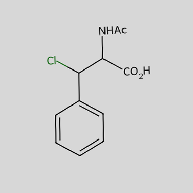 CC(=O)NC(C(=O)O)C(Cl)c1ccccc1